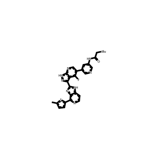 Cc1ccc(-c2nccc3[nH]c(-c4n[nH]c5ncc(-c6cncc(NC(=O)CC(C)(C)C)c6)c(F)c45)nc23)s1